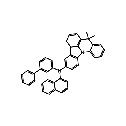 CC1(C)C2=C3C(CC=C2)c2cc(N(c4cccc(-c5ccccc5)c4)c4cccc5ccccc45)ccc2N3c2ccccc21